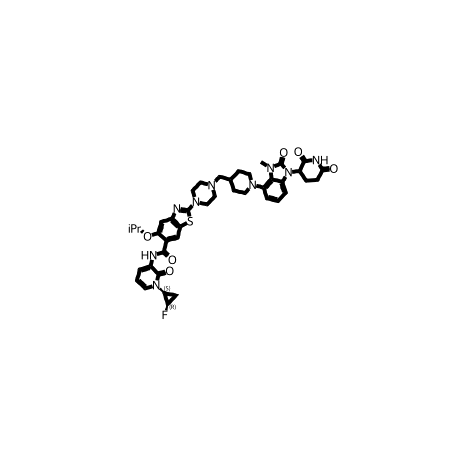 CC(C)Oc1cc2nc(N3CCN(CC4CCN(c5cccc6c5n(C)c(=O)n6C5CCC(=O)NC5=O)CC4)CC3)sc2cc1C(=O)Nc1cccn([C@H]2C[C@H]2F)c1=O